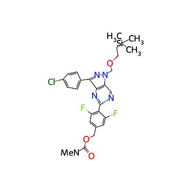 CNC(=O)OCc1cc(F)c(-c2ncc3c(n2)c(-c2ccc(Cl)cc2)nn3COCC[Si](C)(C)C)c(F)c1